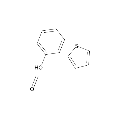 C=O.Oc1ccccc1.c1ccsc1